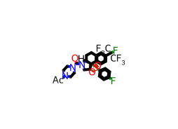 CC(=O)N1CCN(C(=O)N2CC[C@@]3(S(=O)(=O)c4ccc(F)cc4)c4ccc(C(F)(C(F)(F)F)C(F)(F)F)cc4CC[C@@H]23)CC1